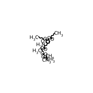 CCCCC(=O)Oc1ccc(C[C@H](N)C(=O)O[C@@H](C)COC(=O)OC(C)C(C)C)cc1OC(=O)CCCC